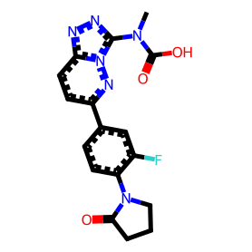 CN(C(=O)O)c1nnc2ccc(-c3ccc(N4CCCC4=O)c(F)c3)nn12